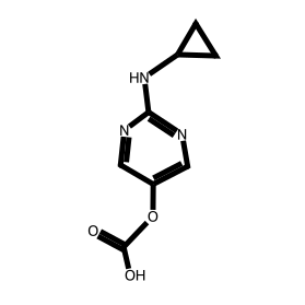 O=C(O)Oc1cnc(NC2CC2)nc1